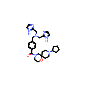 O=C(c1ccc(CN(Cc2ncc[nH]2)Cc2ncc[nH]2)cc1)N1CCOC2(CCN(C3CCCC3)CC2)C1